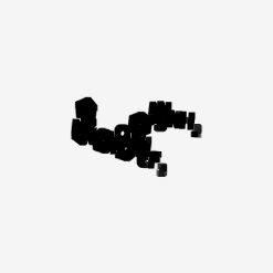 Nc1nnc(-c2cccc(-n3nc(C(F)(F)F)c4c3C(=O)N(c3ccc(-n5ccnc5CN5CCCC5)cc3)CC4)c2)s1